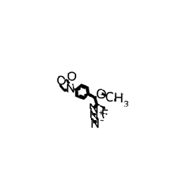 CO[C@H](c1ccc(N2CCOC2=O)cc1)[C@@H](CF)N=[N+]=[N-]